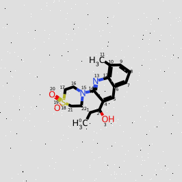 CCC(O)c1cc2cccc(C)c2nc1N1CCS(=O)(=O)CC1